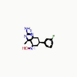 Cc1nc(N)nc2c1/C(=N\O)CC(c1cccc(F)c1)C2